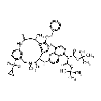 C[C@@H]1CC(=O)Nc2ccc(S(=O)(=O)C3CC3)c(c2)CN(C)C(=O)[C@H](Nc2ccc3c(N(C(=O)OC(C)(C)C)C(=O)OC(C)(C)C)ncc(F)c3c2)c2ccc(OCc3ccccc3)c1c2